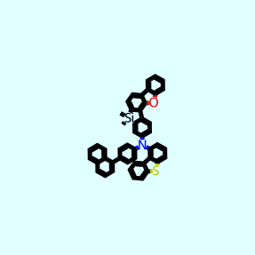 C[Si]1(C)c2cc(N(c3ccc(-c4cccc5ccccc45)cc3)c3cccc4sc5ccccc5c34)ccc2-c2c1ccc1c2oc2ccccc21